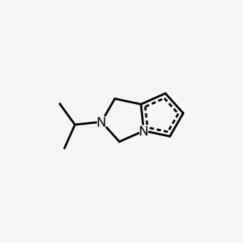 CC(C)N1Cc2cccn2C1